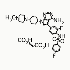 CN1CCN([C@H]2CC[C@H](n3cc(-c4ccc(NS(=O)(=O)c5ccc(F)cc5)c(F)c4)c4c(N)ncnc43)CC2)CC1.O=C(O)/C=C\C(=O)O